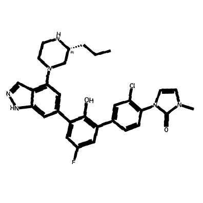 CCC[C@@H]1CN(c2cc(-c3cc(F)cc(-c4ccc(-n5ccn(C)c5=O)c(Cl)c4)c3O)cc3[nH]ncc23)CCN1